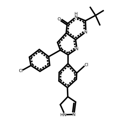 CC(C)(C)c1nc2nc(-c3ccc(C4C=NNC4)cc3Cl)c(-c3ccc(Cl)cc3)cc2c(=O)[nH]1